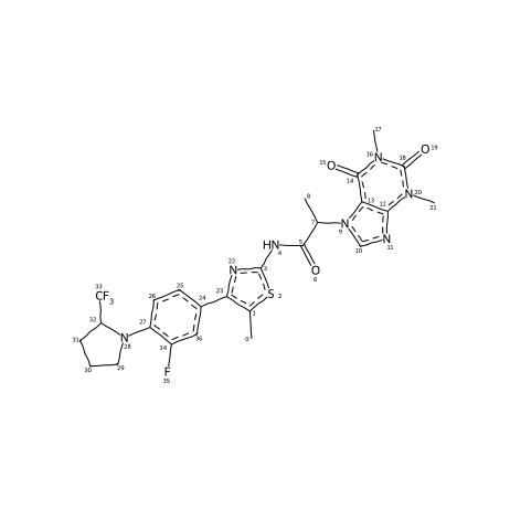 Cc1sc(NC(=O)C(C)n2cnc3c2c(=O)n(C)c(=O)n3C)nc1-c1ccc(N2CCCC2C(F)(F)F)c(F)c1